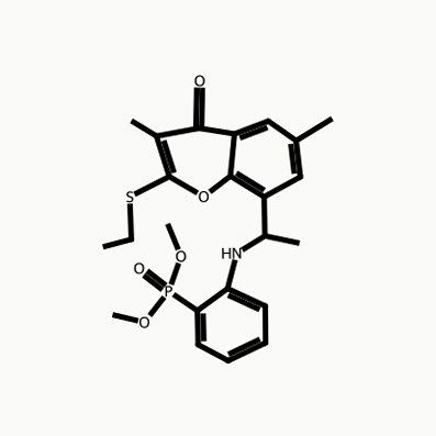 CCSc1oc2c(C(C)Nc3ccccc3P(=O)(OC)OC)cc(C)cc2c(=O)c1C